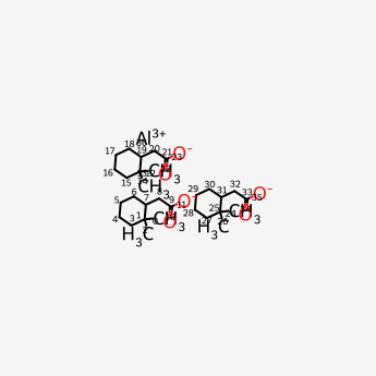 CC1(C)CCCCC1CC(=O)[O-].CC1(C)CCCCC1CC(=O)[O-].CC1(C)CCCCC1CC(=O)[O-].[Al+3]